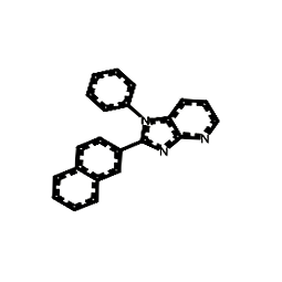 c1ccc(-n2c(-c3ccc4ccccc4c3)nc3ncccc32)cc1